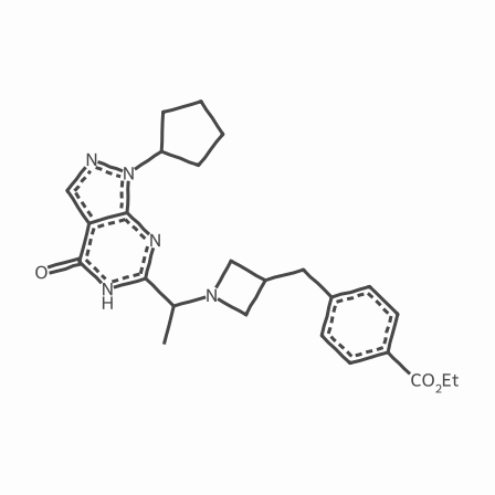 CCOC(=O)c1ccc(CC2CN(C(C)c3nc4c(cnn4C4CCCC4)c(=O)[nH]3)C2)cc1